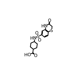 O=C1CSc2ccc(S(=O)(=O)NC3CCC(C(=O)O)CC3)cc2N1